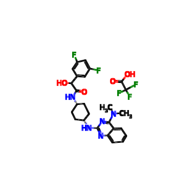 CN(C)c1nc(N[C@H]2CC[C@@H](NC(=O)C(O)c3cc(F)cc(F)c3)CC2)nc2ccccc12.O=C(O)C(F)(F)F